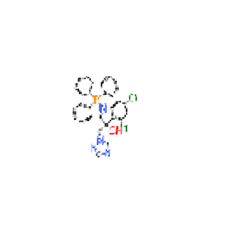 OC(CN=P(c1ccccc1)(c1ccccc1)c1ccccc1)(Cn1cncn1)c1ccc(Cl)cc1Cl